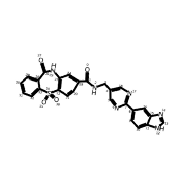 O=C(NCc1cnc(-c2ccc3[nH]cnc3c2)nc1)c1ccc2c(c1)NC(=O)c1ccccc1S2(=O)=O